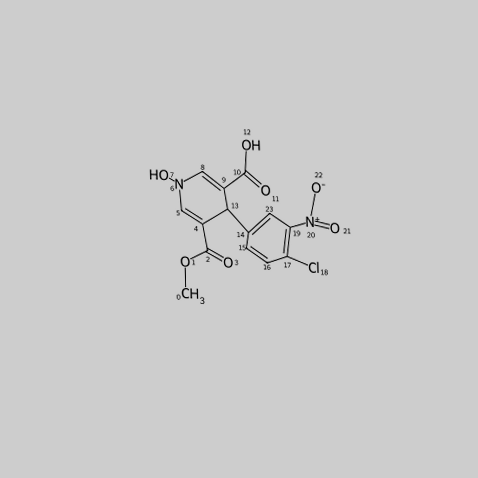 COC(=O)C1=CN(O)C=C(C(=O)O)C1c1ccc(Cl)c([N+](=O)[O-])c1